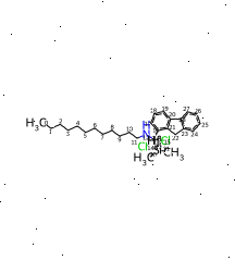 CCCCCCCCCCCC[NH][Hf]([Cl])([Cl])([c]1cccc2c1Cc1ccccc1-2)[SiH](C)C